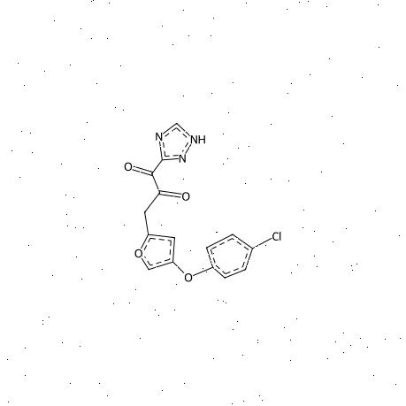 O=C(Cc1cc(Oc2ccc(Cl)cc2)co1)C(=O)c1nc[nH]n1